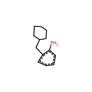 Pc1ccccc1CC1CCCCC1